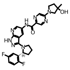 CC1(O)CCN(c2cnc(C(=O)Nc3cnc4[nH]nc(N5CCC[C@@H]5c5cc(F)ccc5F)c4c3)cn2)C1